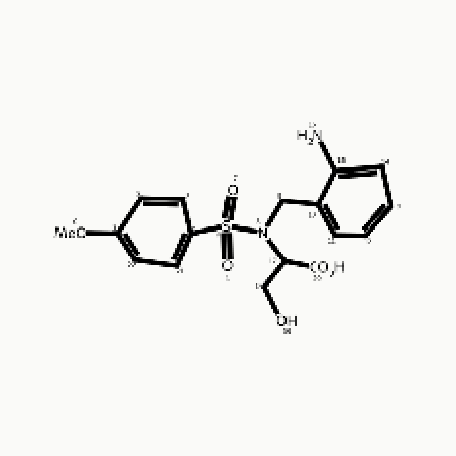 COc1ccc(S(=O)(=O)N(Cc2ccccc2N)C(CO)C(=O)O)cc1